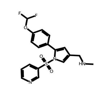 CNCc1cc(-c2ccc(OC(F)F)cc2)n(S(=O)(=O)c2cccnc2)c1